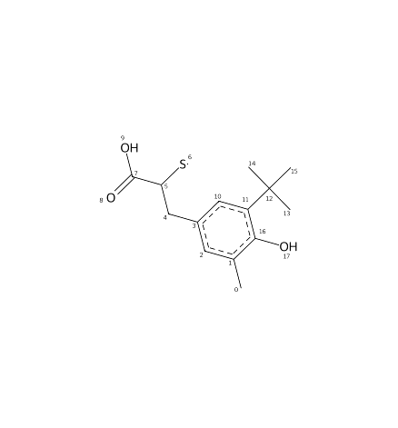 Cc1cc(CC([S])C(=O)O)cc(C(C)(C)C)c1O